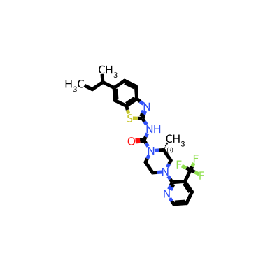 CCC(C)c1ccc2nc(NC(=O)N3CCN(c4ncccc4C(F)(F)F)C[C@H]3C)sc2c1